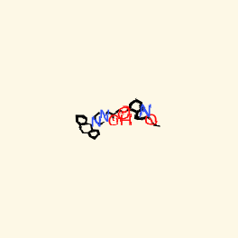 CCOc1ccc2c(OCC(O)CN3CCN(C4c5ccccc5CCc5ccccc54)CC3)cccc2n1